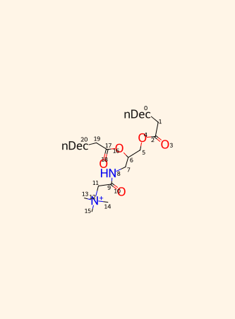 CCCCCCCCCCCC(=O)OCC(CNC(=O)C[N+](C)(C)C)OC(=O)CCCCCCCCCCC